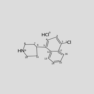 Cl.Clc1ccc(C2CCNCC2)c2ccccc12